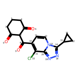 O=C1CCCC(=O)C1C(=O)c1ccn2c(C3CC3)nnc2c1Cl